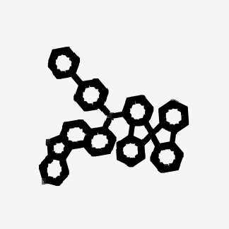 c1ccc(-c2ccc(N(c3cccc4c3-c3ccccc3C43c4ccccc4-c4ccccc43)c3cccc4c3ccc3oc5cnccc5c34)cc2)cc1